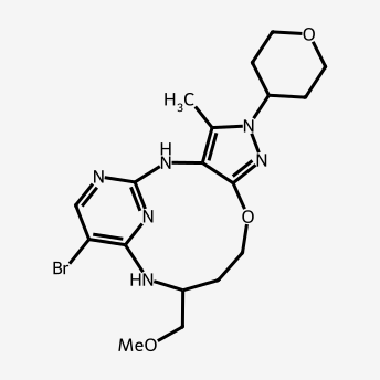 COCC1CCOc2nn(C3CCOCC3)c(C)c2Nc2ncc(Br)c(n2)N1